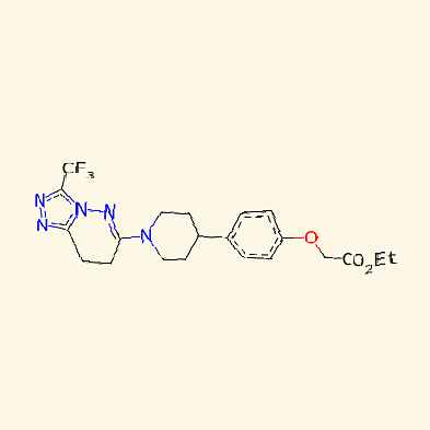 CCOC(=O)COc1ccc(C2CCN(C3=Nn4c(nnc4C(F)(F)F)CC3)CC2)cc1